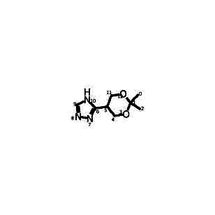 CC1(C)OCC(c2nnc[nH]2)CO1